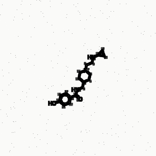 O=C(NCC1CCN(CCNC2CC2)CC1)c1ccc(O)cc1